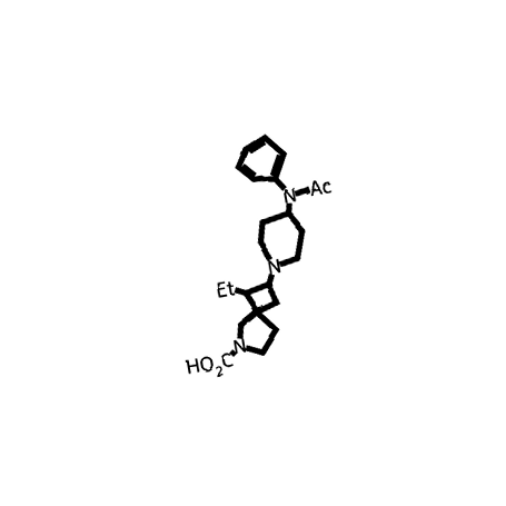 CCC1C(N2CCC(N(C(C)=O)c3ccccc3)CC2)CC12CCN(C(=O)O)C2